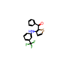 O=C(c1ccccc1)c1sccc1Nc1cccc(C(F)(F)F)c1